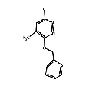 FC(F)(F)c1cc(Cl)nnc1OCc1ccccc1